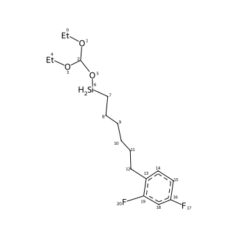 CCOC(OCC)O[SiH2]CCCCCCc1ccc(F)cc1F